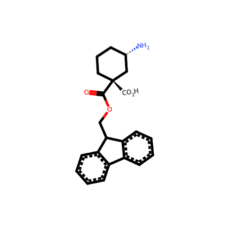 N[C@H]1CCC[C@@](C(=O)O)(C(=O)OCC2c3ccccc3-c3ccccc32)C1